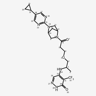 CC(COCCC(=O)N1CC2CC1CN2c1ncc(C2CC2)cn1)Nc1cn[nH]c(=O)c1C(F)(F)F